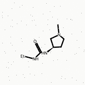 CCNC(=O)N[C@@H]1CCN(C)C1